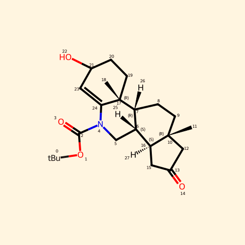 CC(C)(C)OC(=O)N1C[C@@H]2[C@@H](CC[C@]3(C)CC(=O)C[C@@H]23)[C@@]2(C)CCC(O)C=C12